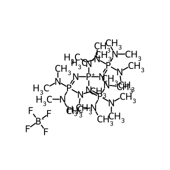 CN(C)P(=N[P+](N=P(N(C)C)(N(C)C)N(C)C)(N=P(N(C)C)(N(C)C)N(C)C)N(C)C)(N(C)C)N(C)C.F[B-](F)(F)F